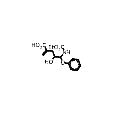 C=C(CC(O)C(NC(=O)OCC)Oc1ccccc1)C(=O)O